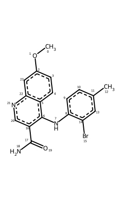 COc1ccc2c(Nc3ccc(C)cc3Br)c(C(N)=O)cnc2c1